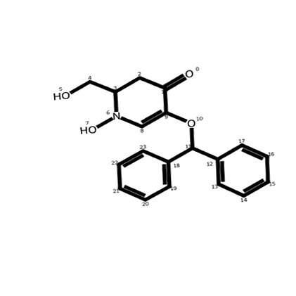 O=C1CC(CO)N(O)C=C1OC(c1ccccc1)c1ccccc1